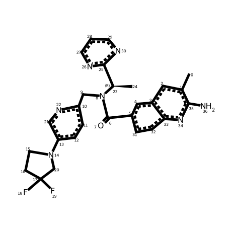 Cc1cc2cc(C(=O)N(Cc3ccc(N4CCC(F)(F)C4)cn3)[C@H](C)c3ncccn3)ccc2nc1N